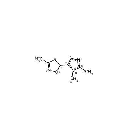 CC1=NOC(c2cnc(C)n2C)C1